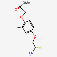 COC(=O)COc1ccc(OCC(N)=S)cc1C